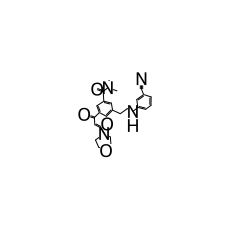 CN(C)C(=O)c1cc(CCNc2cccc(C#N)c2)c2oc(N3CCOCC3)cc(=O)c2c1